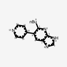 CCCCc1nc2[nH]cnc2cc1-c1ccncc1